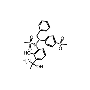 CC(N)(O)c1cccc(N(C(Cc2ccccc2)c2ccc(S(C)(=O)=O)cc2)S(C)(=O)=O)c1O